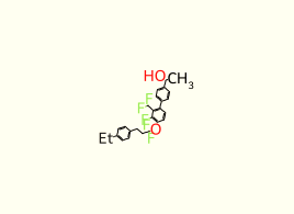 CCc1ccc(CCC(F)(F)Oc2ccc(-c3ccc(C(C)O)cc3)c(C(F)F)c2F)cc1